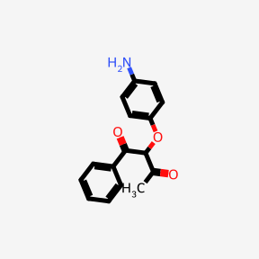 CC(=O)C(Oc1ccc(N)cc1)C(=O)c1ccccc1